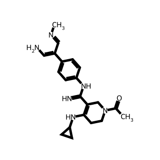 C/N=C/C(=C\N)c1ccc(NC(=N)C2=C(NC3CC3)CCN(C(C)=O)C2)cc1